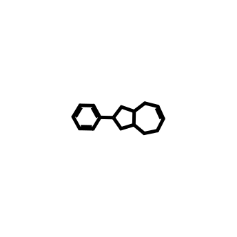 C1=CCC2CC(c3ccccc3)CC2CC1